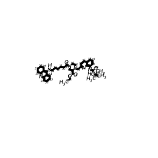 CCOC(=O)C1CN(C(=O)CCCCCNc2c3c(nc4ccccc24)CCCC3)CCN1Cc1ccc2cccc(NC(=O)OC(C)(C)C)c2n1